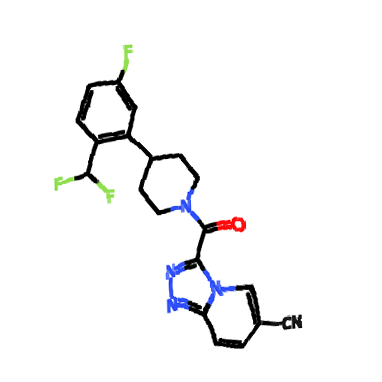 N#Cc1ccc2nnc(C(=O)N3CCC(c4cc(F)ccc4C(F)F)CC3)n2c1